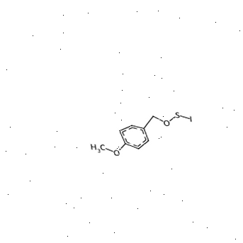 COc1ccc(COSI)cc1